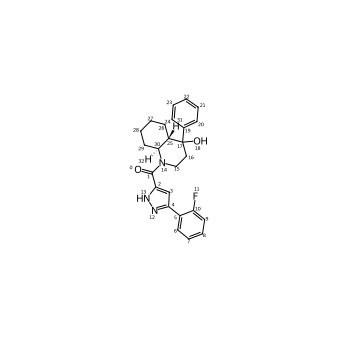 O=C(c1cc(-c2ccccc2F)n[nH]1)N1CCC(O)(c2ccccc2)[C@H]2CCCC[C@@H]21